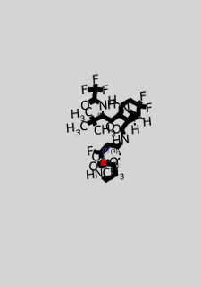 CC(C)(C)[C@H](NC(=O)C(F)(F)F)C(=O)N1[C@H]2CC[C@@H]([C@H]1C(=O)N[C@@H](/C=C(/F)S(C)(=O)=O)C[C@@H]1CCNC1=O)C(F)(F)C2